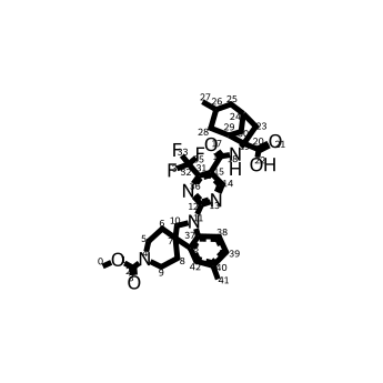 COC(=O)N1CCC2(CC1)CN(c1ncc(C(=O)NC3(C(=O)O)CC4CC(C)CC3C4)c(C(F)(F)F)n1)c1ccc(C)cc12